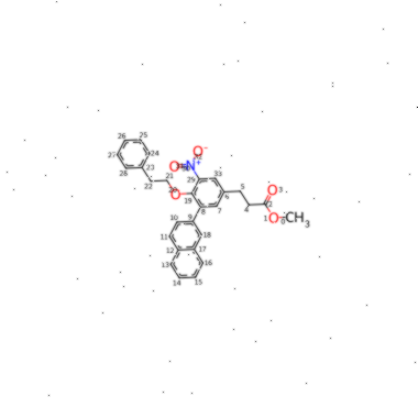 COC(=O)CCc1cc(-c2ccc3ccccc3c2)c(OCCc2ccccc2)c([N+](=O)[O-])c1